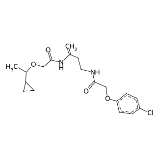 C=C(CCNC(=O)COc1ccc(Cl)cc1)NC(=O)COC(C)C1CC1